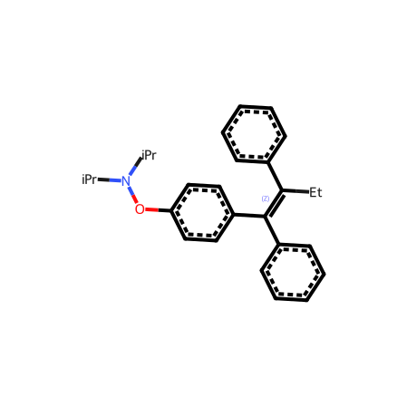 CC/C(=C(\c1ccccc1)c1ccc(ON(C(C)C)C(C)C)cc1)c1ccccc1